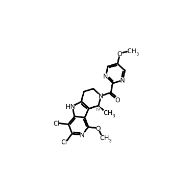 COc1cnc(C(=O)N2CCc3[nH]c4c(Cl)c(Cl)nc(OC)c4c3[C@@H]2C)nc1